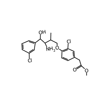 COC(=O)Cc1ccc(OCC(C)C(N)C(O)c2cccc(Cl)c2)c(Cl)c1